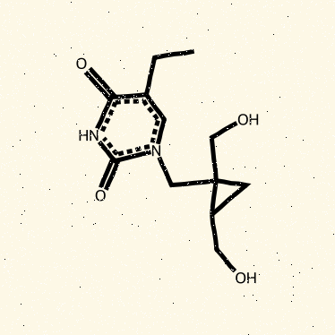 CCc1cn(CC2(CO)CC2CO)c(=O)[nH]c1=O